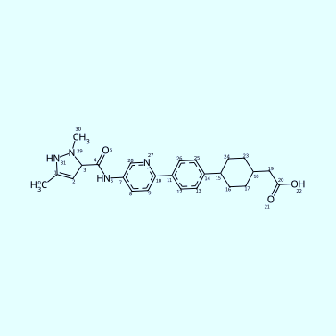 CC1=CC(C(=O)Nc2ccc(-c3ccc(C4CCC(CC(=O)O)CC4)cc3)nc2)N(C)N1